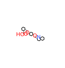 O=C(O)c1ccccc1COc1ccc(OCc2ccc3ccccc3n2)cc1